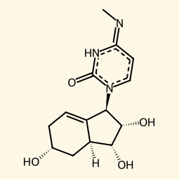 C/N=c1/ccn([C@@H]2C3=CC[C@@H](O)C[C@@H]3[C@@H](O)[C@H]2O)c(=O)[nH]1